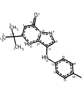 CC(C)(C)c1cc(=O)n2ncc(Nc3ccc(Cl)cc3)c2[nH]1